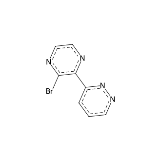 Brc1nccnc1-c1cccnn1